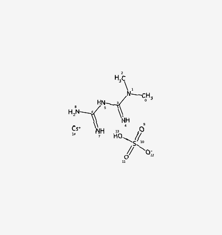 CN(C)C(=N)NC(=N)N.O=S(=O)([O-])O.[Cs+]